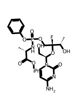 CC(C)OC(=O)[C@H](C)NP(=O)(OC[C@@](F)(O[C@H](CO)n1ccc(N)nc1=O)[C@H](C)O)Oc1ccccc1